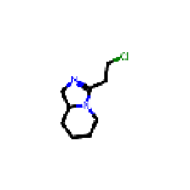 ClCCC1=NCC2CCCCN12